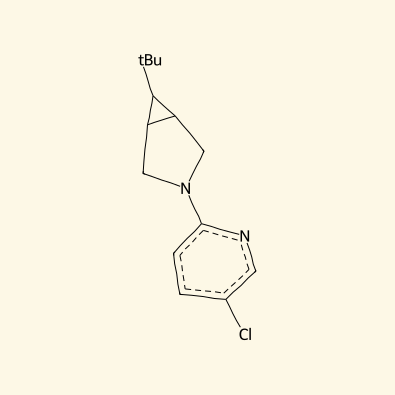 CC(C)(C)C1C2CN(c3ccc(Cl)cn3)CC21